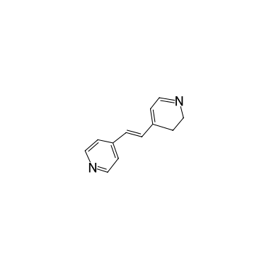 C1=NCCC(/C=C/c2ccncc2)=C1